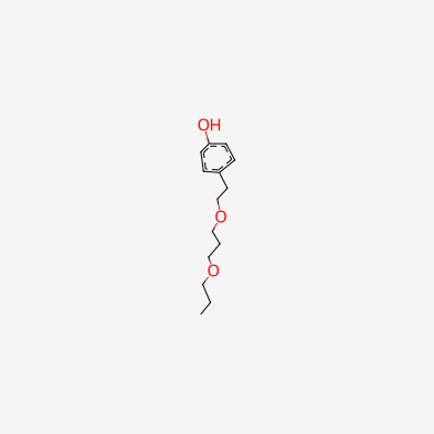 CCCOCCCOCCc1ccc(O)cc1